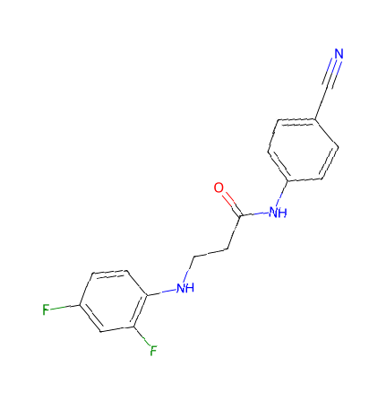 N#Cc1ccc(NC(=O)CCNc2ccc(F)cc2F)cc1